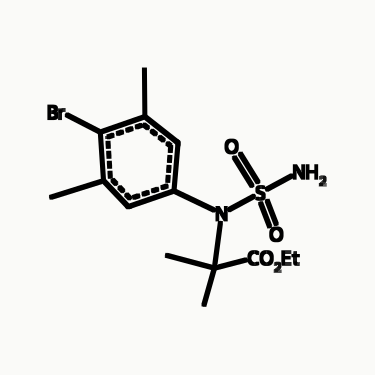 CCOC(=O)C(C)(C)N(c1cc(C)c(Br)c(C)c1)S(N)(=O)=O